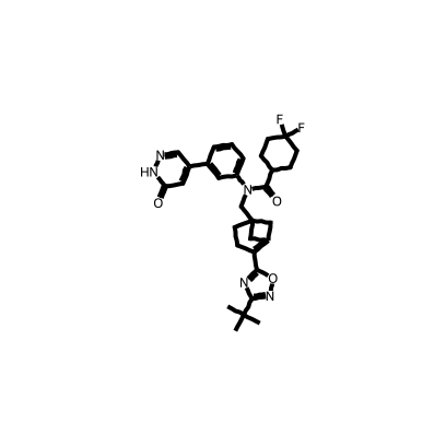 CC(C)(C)c1noc(C2=C3CC(CN(C(=O)C4CCC(F)(F)CC4)c4cccc(-c5cn[nH]c(=O)c5)c4)(CC2)C3)n1